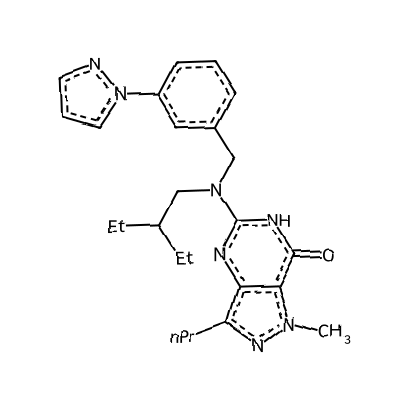 CCCc1nn(C)c2c(=O)[nH]c(N(Cc3cccc(-n4cccn4)c3)CC(CC)CC)nc12